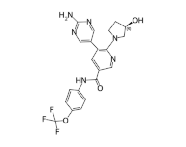 Nc1ncc(-c2cc(C(=O)Nc3ccc(OC(F)(F)F)cc3)cnc2N2CC[C@@H](O)C2)cn1